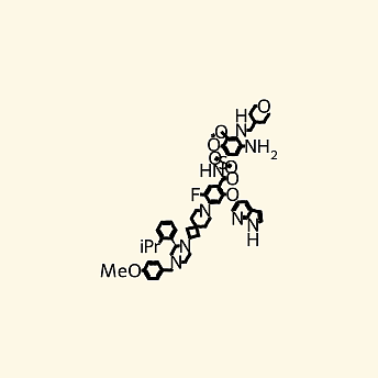 COc1ccc(CN2CCN(C3CC4(CCN(c5cc(Oc6cnc7[nH]ccc7c6)c(C(=O)NS(=O)(=O)c6cc(N)c(NCC7CCOCC7)c7c6OCO7)cc5F)CC4)C3)[C@H](c3ccccc3C(C)C)C2)cc1